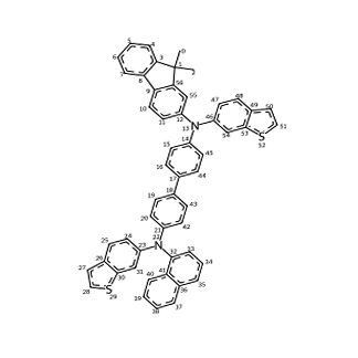 CC1(C)c2ccccc2-c2ccc(N(c3ccc(-c4ccc(N(c5ccc6ccsc6c5)c5cccc6ccccc56)cc4)cc3)c3ccc4ccsc4c3)cc21